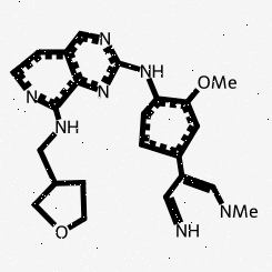 CN/C=C(\C=N)c1ccc(Nc2ncc3ccnc(NCC4CCOC4)c3n2)c(OC)c1